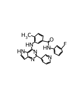 Cc1ccc(C(=O)Nc2cccc(F)c2)cc1Nc1nc(-c2cccnc2)nc2cc[nH]c12